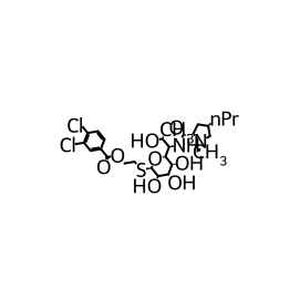 CCC[C@@H]1C[C@@H](C(=O)N[C@@H]([C@H]2O[C@H](SCCOC(=O)c3ccc(Cl)c(Cl)c3)[C@H](O)[C@@H](O)[C@H]2O)[C@@H](C)O)N(C)C1